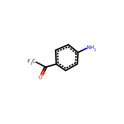 Nc1ccc(C(=O)C(F)(F)F)cc1